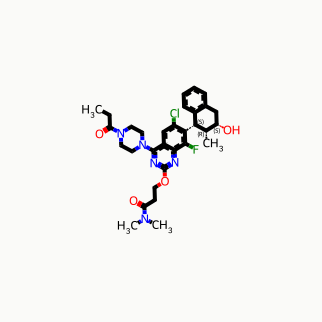 CCC(=O)N1CCN(c2nc(OCCC(=O)N(C)C)nc3c(F)c([C@@H]4c5ccccc5C[C@H](O)[C@@H]4C)c(Cl)cc23)CC1